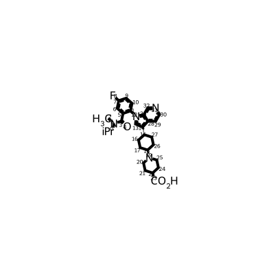 CC(C)N(C)C(=O)c1cc(F)ccc1-n1cc([C@H]2CC[C@H](N3CCC(C(=O)O)CC3)CC2)c2ccncc21